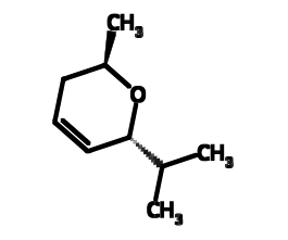 CC(C)[C@@H]1C=CC[C@@H](C)O1